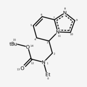 CCN(CC1CC=Cc2nccn21)C(=O)OC(C)(C)C